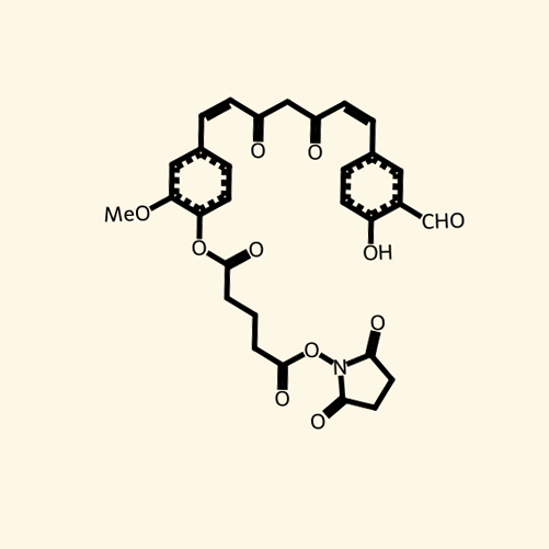 COc1cc(/C=C\C(=O)CC(=O)/C=C\c2ccc(O)c(C=O)c2)ccc1OC(=O)CCCC(=O)ON1C(=O)CCC1=O